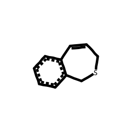 C1=Cc2ccccc2CSC1